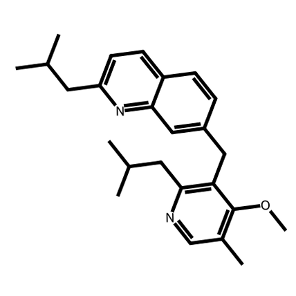 COc1c(C)cnc(CC(C)C)c1Cc1ccc2ccc(CC(C)C)nc2c1